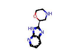 c1cnc2[nH]c([C@@H]3CNCCO3)nc2c1